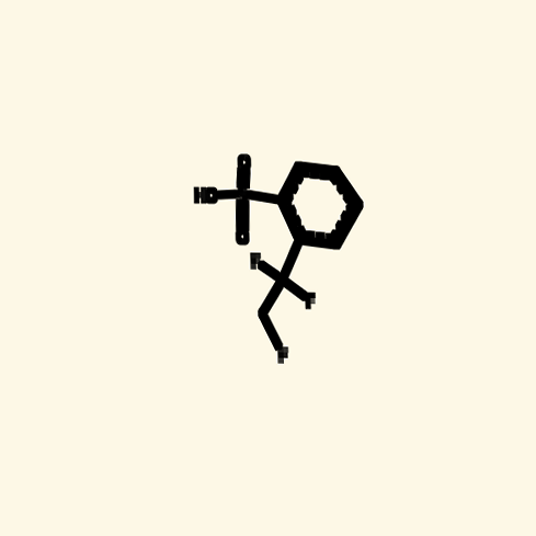 O=S(=O)(O)c1ccccc1C(F)(F)CF